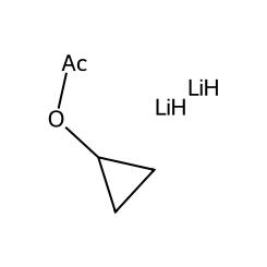 CC(=O)OC1CC1.[LiH].[LiH]